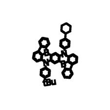 CC(C)(C)c1ccc(N2c3cc4c(cc3B3c5ccccc5-c5cccc2c53)N(c2ccc(C3CCCCC3)cc2)c2cccc3c2B4c2ccccc2-3)cc1